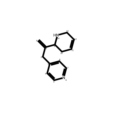 C=C(Cc1ccncc1)C1CC=CCN1